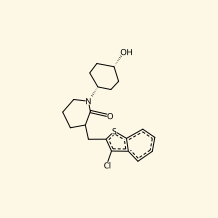 O=C1C(Cc2sc3ccccc3c2Cl)CCCN1[C@H]1CC[C@@H](O)CC1